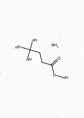 CCCOC(=O)CCC(CCC)(CCC)CCC.N